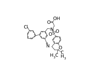 CC1(C)CCc2cc(S(=O)(=O)N(CC(=O)O)Cc3cc(C#N)cc(-c4cccc(Cl)c4)c3)ccc2O1